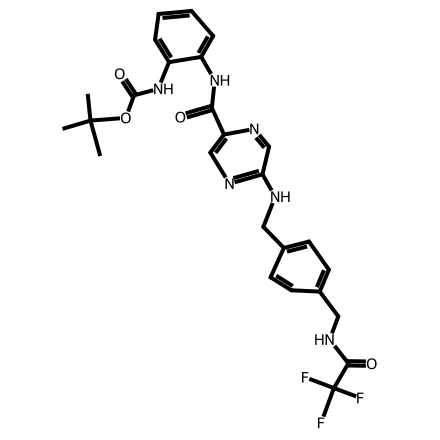 CC(C)(C)OC(=O)Nc1ccccc1NC(=O)c1cnc(NCc2ccc(CNC(=O)C(F)(F)F)cc2)cn1